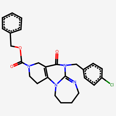 O=C(OCc1ccccc1)N1CCC2=C(C1)C(=O)N(Cc1ccc(Cl)cc1)C1=NCCCCN12